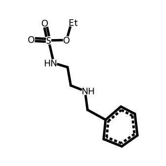 CCOS(=O)(=O)NCCNCc1ccccc1